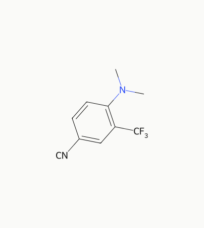 [C-]#[N+]c1ccc(N(C)C)c(C(F)(F)F)c1